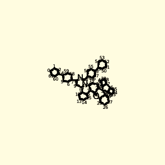 c1ccc(-c2ccc(-c3cc(-c4ccccc4-c4cccc5c4Oc4ccccc4C54c5ccccc5-c5ccccc54)nc(-c4ccc(-c5ccccc5)cc4)n3)cc2)cc1